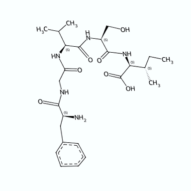 CC[C@H](C)[C@H](NC(=O)[C@H](CO)NC(=O)[C@@H](NC(=O)CNC(=O)[C@@H](N)Cc1ccccc1)C(C)C)C(=O)O